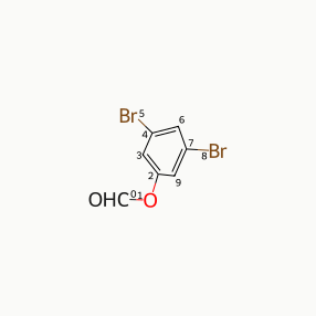 O=COc1cc(Br)cc(Br)c1